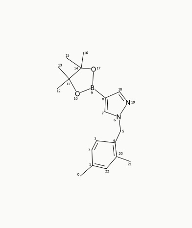 Cc1ccc(Cn2cc(B3OC(C)(C)C(C)(C)O3)cn2)c(C)c1